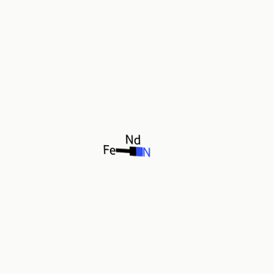 N#[C][Fe].[Nd]